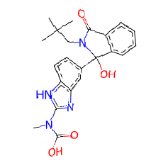 CN(C(=O)O)c1nc2cc(C3(O)c4ccccc4C(=O)N3CC(C)(C)C)ccc2[nH]1